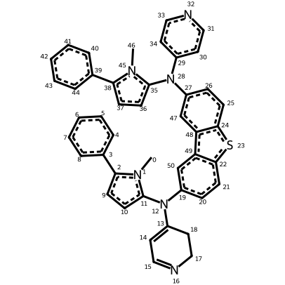 Cn1c(-c2ccccc2)ccc1N(C1=CC=NCC1)c1ccc2sc3ccc(N(c4ccncc4)c4ccc(-c5ccccc5)n4C)cc3c2c1